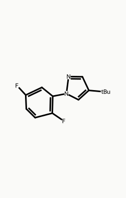 CC(C)(C)c1cnn(-c2cc(F)ccc2F)c1